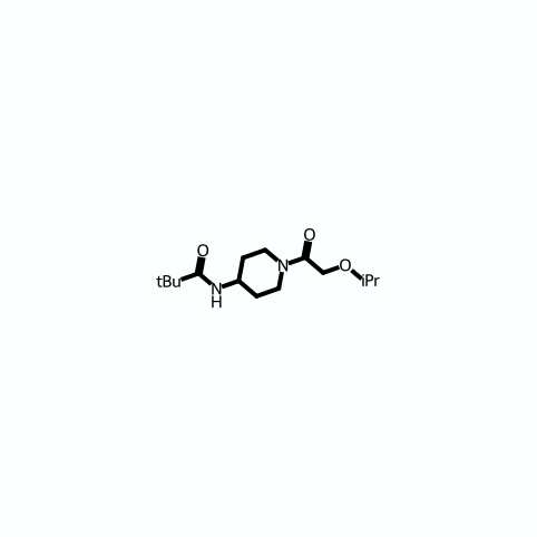 CC(C)OCC(=O)N1CCC(NC(=O)C(C)(C)C)CC1